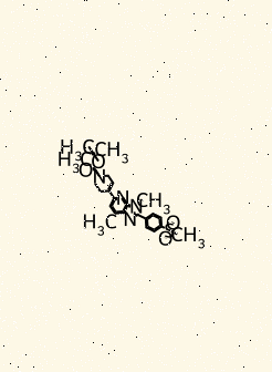 Cc1cc(C2=CCN(C(=O)OC(C)(C)C)CC2)nc2c1nc(-c1ccc(S(C)(=O)=O)cc1)n2C